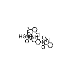 C=C(I)c1cccc(Cl)c1C(=O)N[C@@H](Cc1ccc(-n2c(=O)c3ccccc3n(C)c2=O)cc1)C(=O)NO